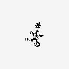 C=CC[C@]12SC(C3CCCO3)=C(C(=O)O)N1C(=O)[C@@H]2[C@@H](C)O[Si](C)(C)C(C)(C)C